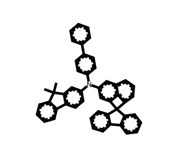 CC1(C)c2ccccc2-c2ccc(N(c3ccc(-c4ccccc4)cc3)c3cc4c5c(cccc5c3)C43c4ccccc4-c4ccccc43)cc21